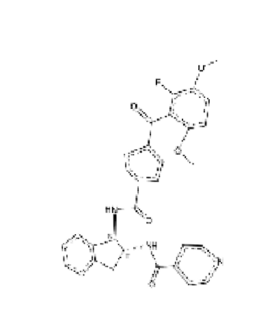 COc1ccc(OC)c(C(=O)c2ccc(C(=O)N[C@@H]3c4ccccc4C[C@H]3NC(=O)c3ccncc3)cc2)c1F